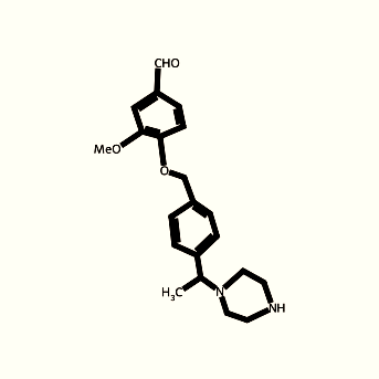 COc1cc(C=O)ccc1OCc1ccc(C(C)N2CCNCC2)cc1